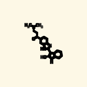 CN(C)CCC(=O)c1ccc2nc(-c3c(O)[nH]c4ccccc34)[nH]c2c1